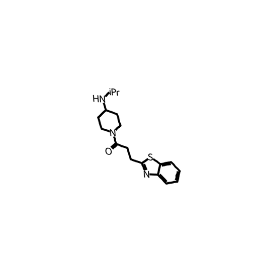 CC(C)NC1CCN(C(=O)CCc2nc3ccccc3s2)CC1